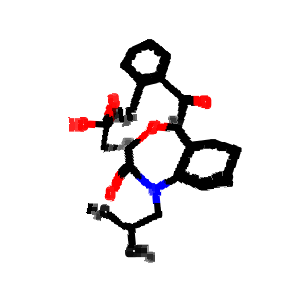 Cc1ccccc1C(=O)[C@@H]1O[C@@H](CC(=O)O)C(=O)N(CC(C)C)c2ccccc21